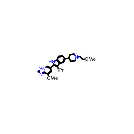 COCCN1CCC(c2ccc3[nH]c(-c4cc(OC)c5ncnn5c4)c(C(C)C)c3c2)CC1